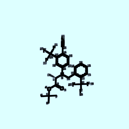 C[C@@H](C(=O)OC(C)(C)C)N(Cc1ccccc1C(F)(F)F)c1ccc(C#N)c(C(F)(F)F)c1